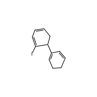 IC1=CC=CCC1C1=CCCC=C1